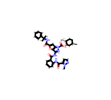 CC(C)[C@@H]1CC[C@@H](C)C[C@H]1OC(=O)n1nc(NC(=O)c2ccccc2NC(=O)c2ccnn2C)c2oc(C(=O)NC(C)(C)c3ccccc3)cc21